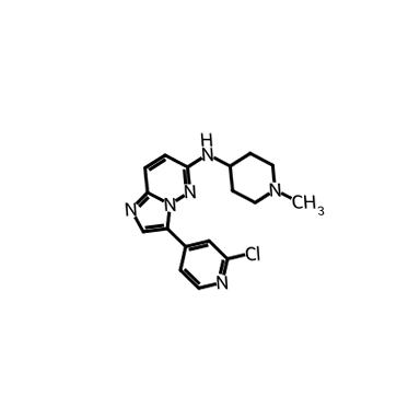 CN1CCC(Nc2ccc3ncc(-c4ccnc(Cl)c4)n3n2)CC1